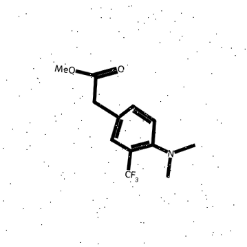 COC(=O)Cc1ccc(N(C)C)c(C(F)(F)F)c1